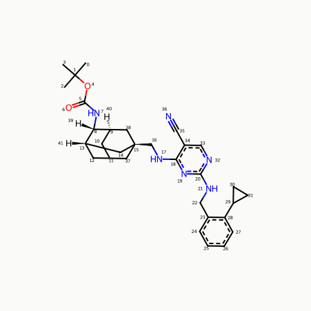 CC(C)(C)OC(=O)N[C@@H]1[C@@H]2CC3C[C@H]1C[C@@](CNc1nc(NCc4ccccc4C4CC4)ncc1C#N)(C3)C2